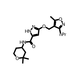 CCCc1noc(C)c1COc1cc(C(=O)NC2CCOC(C)(C)C2)[nH]n1